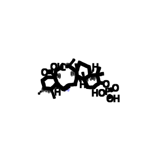 C[C@H]1[C@H](C)CC[C@]2(C(=O)O)CC[C@@H](C)[C@]3(C)CC[C@H]4C(C)(C)C(OP(=O)(O)O)CC[C@]4(C)[C@H]3C/C=C/[C@H]12